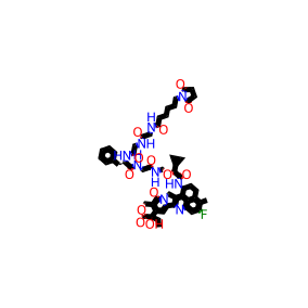 CC[C@@]1(O)C(=O)OCc2c1cc1n(c2=O)Cc2c-1nc1cc(F)c(C)c3c1c2[C@@H](NC(=O)C(OCNC(=O)CNC(=O)[C@H](Cc1ccccc1)NC(=O)CNC(=O)CNC(=O)CCCCCN1C(=O)CCC1=O)C1CC1)CC3